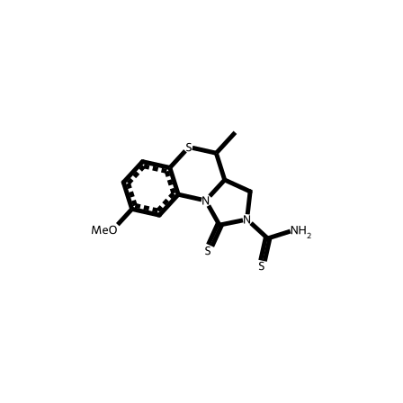 COc1ccc2c(c1)N1C(=S)N(C(N)=S)CC1C(C)S2